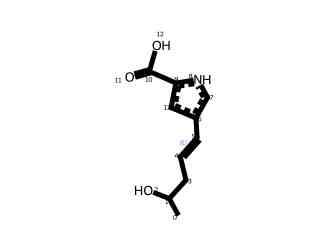 CC(O)C/C=C/c1c[nH]c(C(=O)O)c1